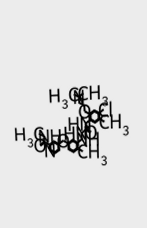 CNC(=O)c1cc(Oc2ccc(C)c(NNC(=O)Nc3cc(C)c(Cl)cc3OCCN(C)C)c2)ccn1